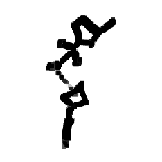 Cc1ccc(S(=O)(=O)N[C@@H]2CCN(C#N)C2)s1